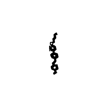 CCCCCOc1ccc(-c2ccc(CCC3CCC(CC)CC3)cc2)nn1